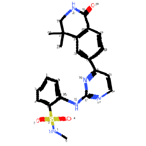 CNS(=O)(=O)c1ccccc1Nc1nccc(-c2ccc3c(c2)C(C)(C)CNC3=O)n1